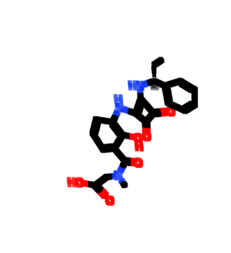 CC[C@@H](Nc1c(Nc2cccc(C(=O)N(C)CC(=O)O)c2O)c(=O)c1=O)c1ccccc1